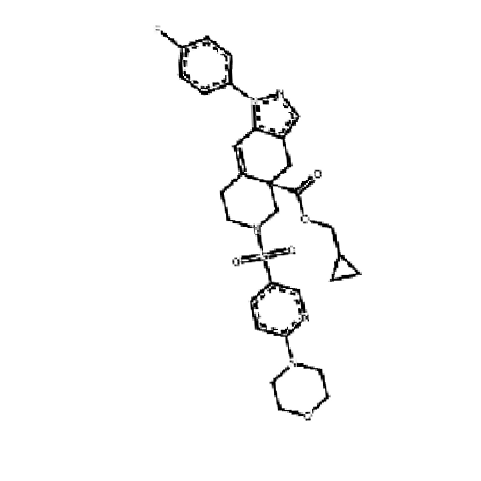 O=C(OCC1CC1)[C@]12Cc3cnn(-c4ccc(F)cc4)c3C=C1CCN(S(=O)(=O)c1ccc(N3CCOCC3)nc1)C2